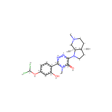 CN1CC[C@H]2CCN(c3nnc(-c4ccc(OC(F)F)cc4O)n(C)c3=O)[C@H]2C1